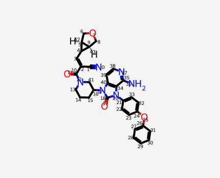 N#CC(=CC1[C@H]2COC[C@@H]12)C(=O)N1CCCC(n2c(=O)n(-c3ccc(Oc4ccccc4)cc3)c3c(N)nccc32)C1